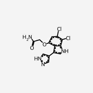 NC(=O)COc1cc(Cl)c(Cl)c2[nH]cc(-c3cn[nH]c3)c12